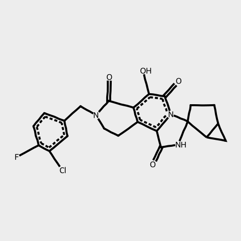 O=C1NC2(CCC3CC32)n2c1c1c(c(O)c2=O)C(=O)N(Cc2ccc(F)c(Cl)c2)CC1